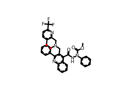 COC(=O)N(NC(=O)c1c(CN2CCc3ccc(C(F)(F)F)nc3C2)c(-c2ccccc2)nc2ccccc12)c1ccccc1